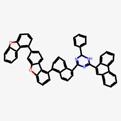 c1ccc(C2N=C(c3cccc4c(-c5cccc6oc7cc(-c8cccc9oc%10ccccc%10c89)ccc7c56)cccc34)N=C(c3cc4ccccc4c4ccccc34)N2)cc1